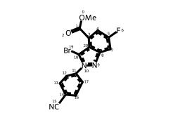 COC(=O)c1cc(F)cc2nn(-c3ccc(C#N)cc3)c(Br)c12